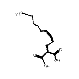 CCCCC/C=C\CC(C(=O)O)C(=O)O